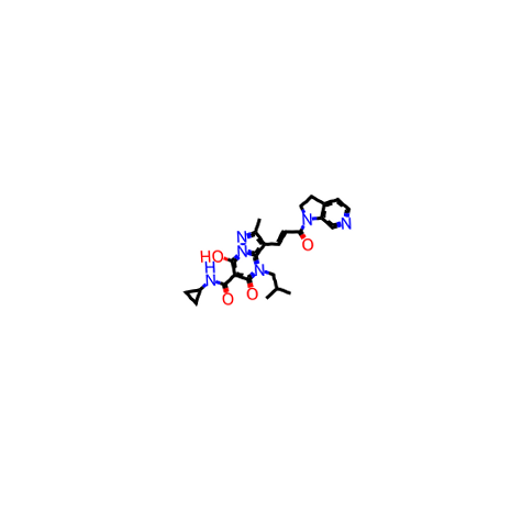 Cc1nn2c(O)c(C(=O)NC3CC3)c(=O)n(CC(C)C)c2c1C=CC(=O)N1CCc2ccncc21